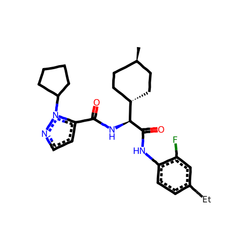 CCc1ccc(NC(=O)[C@@H](NC(=O)c2ccnn2C2CCCC2)[C@H]2CC[C@H](C)CC2)c(F)c1